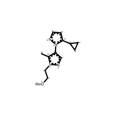 COCCn1ncc(-n2nccc2C2CC2)c1C